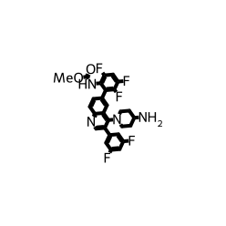 COC(=O)Nc1c(F)cc(F)c(F)c1-c1ccc2ncc(-c3cc(F)cc(F)c3)c(N3CCC(N)CC3)c2c1